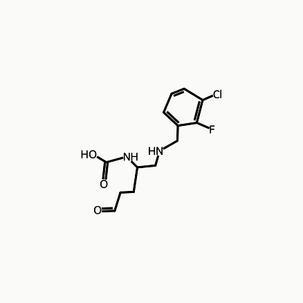 O=CCCC(CNCc1cccc(Cl)c1F)NC(=O)O